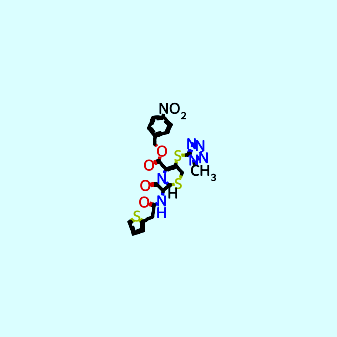 Cn1nnnc1SC1=C(C(=O)OCc2ccc([N+](=O)[O-])cc2)N2C(=O)C(NC(=O)Cc3cccs3)[C@H]2SC1